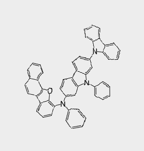 c1ccc(N(c2ccc3c4ccc(-n5c6ccccc6c6ccccc65)cc4n(-c4ccccc4)c3c2)c2cccc3c2oc2c4ccccc4ccc32)cc1